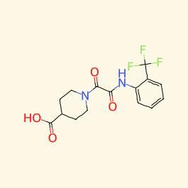 O=C(Nc1ccccc1C(F)(F)F)C(=O)N1CCC(C(=O)O)CC1